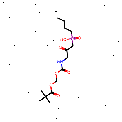 CCCCP(=O)(O)CC(=O)CNC(=O)OCOC(=O)C(C)(C)C